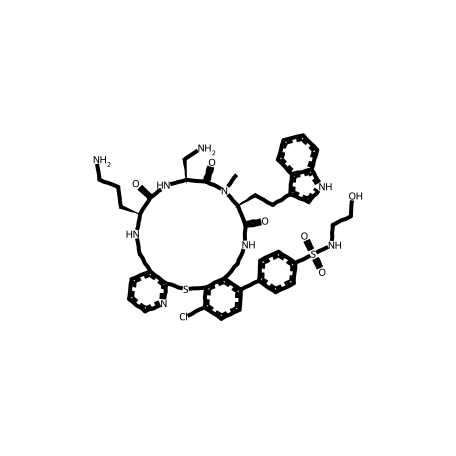 CN1C(=O)[C@H](CN)NC(=O)[C@H](CCCN)NCc2cccnc2Sc2c(Cl)ccc(-c3ccc(S(=O)(=O)NCCO)cc3)c2CNC(=O)[C@@H]1CCc1c[nH]c2ccccc12